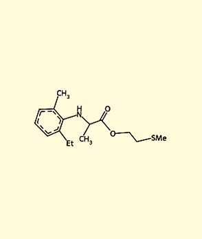 CCc1cccc(C)c1NC(C)C(=O)OCCSC